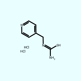 Cl.Cl.NC(S)=NCc1ccncc1